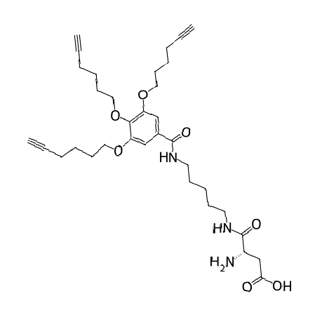 C#CCCCCOc1cc(C(=O)NCCCCCNC(=O)[C@@H](N)CC(=O)O)cc(OCCCCC#C)c1OCCCCC#C